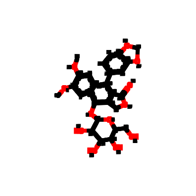 COc1cc2c(OC3OC(CO)C(O)C(O)C3O)c3c(c(-c4ccc5c(c4)OCO5)c2cc1OC)C(=O)OC3